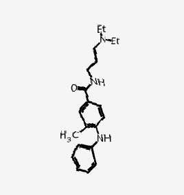 CCN(CC)CCCNC(=O)c1ccc(Nc2ccccc2)c(C)c1